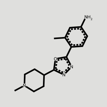 Cc1cc(N)ccc1-c1nnc(C2CCN(C)CC2)o1